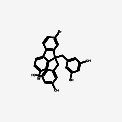 Oc1cc(O)cc(CC2(Cc3cc(O)cc(O)c3)c3cc(Br)ccc3-c3ccc(Br)cc32)c1